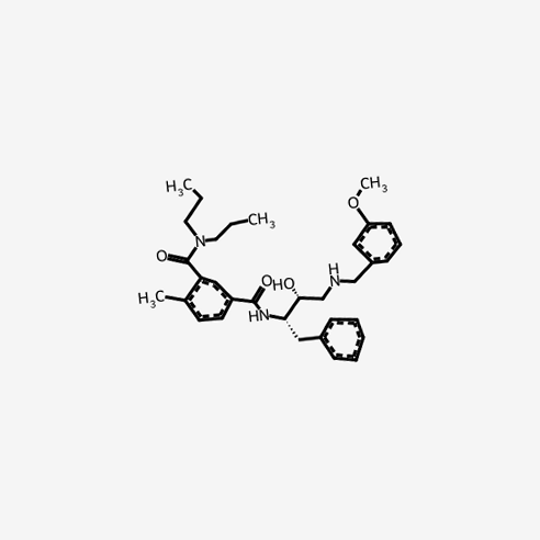 CCCN(CCC)C(=O)c1cc(C(=O)N[C@@H](Cc2ccccc2)[C@H](O)CNCc2cccc(OC)c2)ccc1C